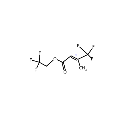 C/C(=C\C(=O)OCC(F)(F)F)C(F)(F)F